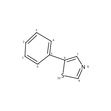 [c]1ccccc1-c1cncs1